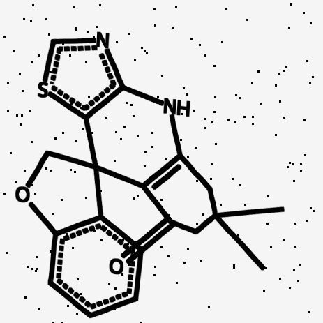 CC1(C)CC(=O)C2=C(C1)Nc1ncsc1C21COc2ccccc21